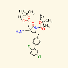 CC(C)(C)OC(=O)OCC1(CCN)C[C@@H](Cc2ccc(-c3cc(Cl)ccc3F)cc2)N(C(=O)OC(C)(C)C)C1=O